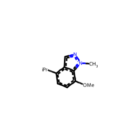 COc1ccc(C(C)C)c2cnn(C)c12